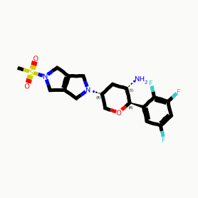 CS(=O)(=O)N1CC2=C(CN([C@H]3CO[C@H](c4cc(F)cc(F)c4F)[C@@H](N)C3)C2)C1